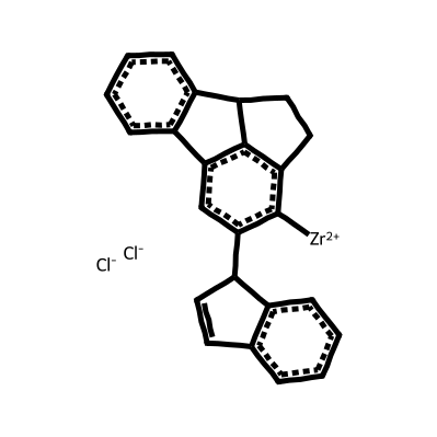 [Cl-].[Cl-].[Zr+2][c]1c(C2C=Cc3ccccc32)cc2c3c1CCC3c1ccccc1-2